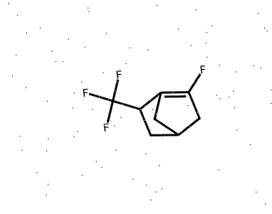 FC1=C2CC(C1)CC2C(F)(F)F